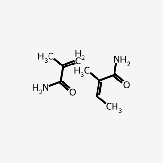 C=C(C)C(N)=O.CC=C(C)C(N)=O